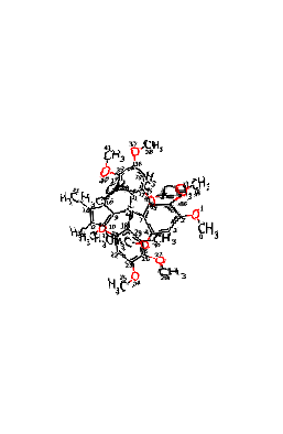 COc1cc(OC)c([Si](C2=C(C)C(C)=C(C)C2C)(c2c(OC)cc(OC)c(OC)c2C)c2c(OC)cc(OC)c(OC)c2C)c(C)c1OC